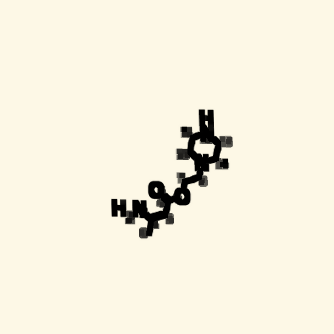 C/C(N)=C/C(=O)OCCN1CCNCC1